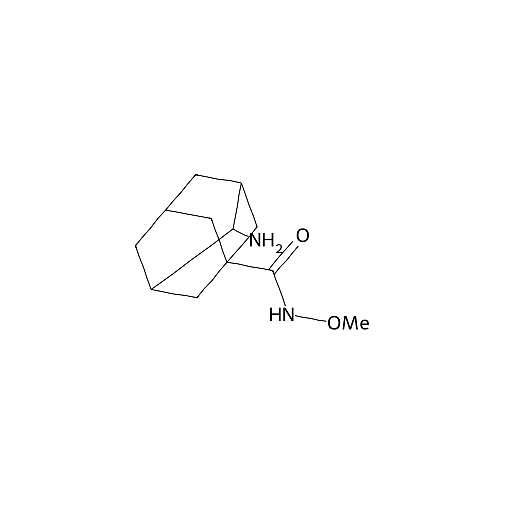 CONC(=O)C12CC3CC(C1)C(N)C(C3)C2